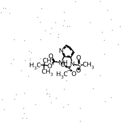 CC(C)(C)OC(=O)Nc1ncccc1N(S(C)(=O)=O)S(C)(=O)=O